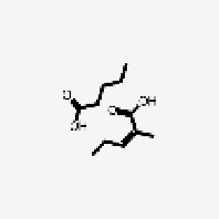 CCC=C(C)C(=O)O.CCCCC(=O)O